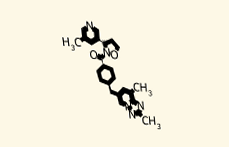 Cc1cncc([C@@H]2CCON2C(=O)[C@H]2CC[C@H](Cc3cc(C)c4nc(C)nn4c3)CC2)c1